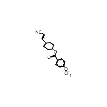 N#C/C=C/[C@H]1CC[C@H](OC(=O)c2ccc(OC(F)(F)F)cc2)CC1